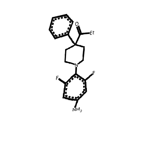 CCC(=O)C1(c2ccccc2)CCN(c2c(F)cc(N)cc2F)CC1